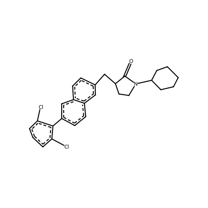 O=C1C(Cc2ccc3cc(-c4c(Cl)cccc4Cl)ccc3c2)CCN1C1CCCCC1